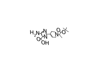 CC(C(=O)OC(C)(C)C)N1CC=C(c2ncc(N)c(C(=O)O)n2)CC1